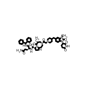 C[C@H]1CN(C(=O)CN2CCC(Cc3ccc4c(c3)n(C)c(=O)n4C3CCC(=O)NC3=O)CC2)CC[C@H]2CC[C@@H](C(=O)N[C@@H](CCC(N)=O)C(=O)NC(c3ccccc3)c3ccccc3)N2C1=O